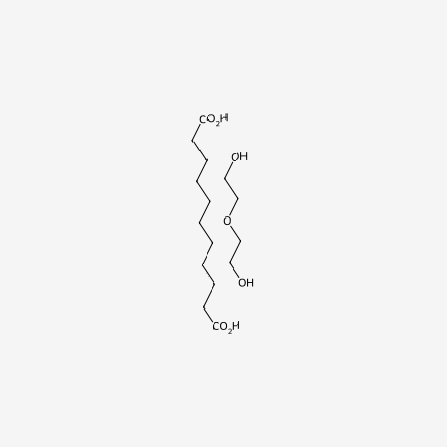 O=C(O)CCCCCCCCCC(=O)O.OCCOCCO